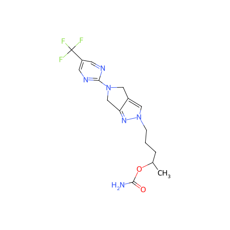 CC(CCCn1cc2c(n1)CN(c1ncc(C(F)(F)F)cn1)C2)OC(N)=O